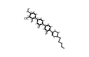 CCCCCC1CC=C(c2ccc(-c3ccc(-c4ccc(CC)c(Cl)c4F)cc3F)cc2F)CC1